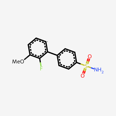 COc1cc[c]c(-c2ccc(S(N)(=O)=O)cc2)c1F